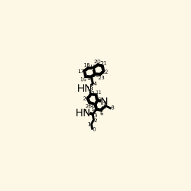 CCCC(=N)c1cc(C)nc2cc(NCc3cccc4ccccc34)ccc12